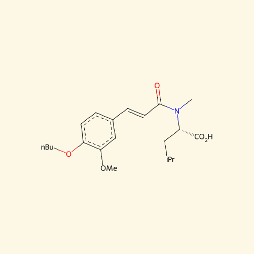 CCCCOc1ccc(C=CC(=O)N(C)[C@@H](CC(C)C)C(=O)O)cc1OC